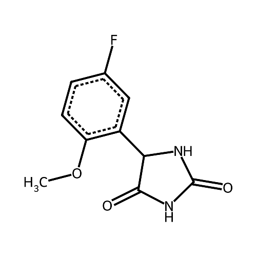 COc1ccc(F)cc1C1NC(=O)NC1=O